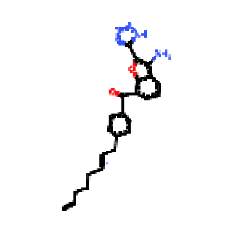 C=CCCC/C=C/Cc1ccc(C(=O)c2cccc3c(N)c(-c4nnn[nH]4)oc23)cc1